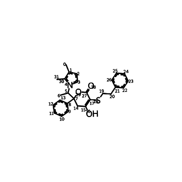 Cc1ccn(C(C)C2(c3ccccc3)CC(O)=C(SCCc3ccccc3)C(=O)O2)c1C